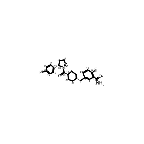 NC(=O)c1cc(C[C@H]2CC[C@H](C(=O)N3OCC[C@H]3c3ccc(F)cc3)CC2)ccc1F